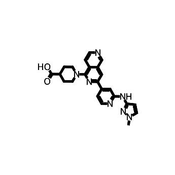 Cn1ccc(Nc2cc(-c3cc4cnccc4c(N4CCC(C(=O)O)CC4)n3)ccn2)n1